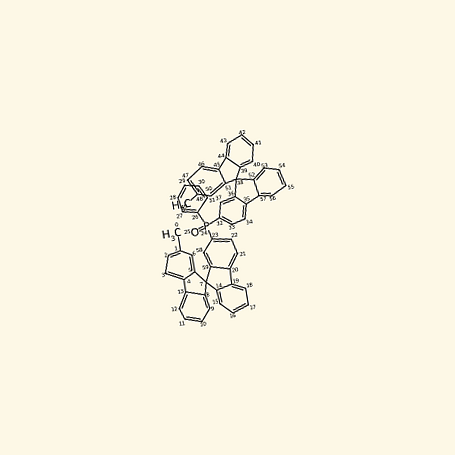 Cc1ccc2c(c1)C1(c3ccccc3-2)c2ccccc2-c2ccc(P(=O)(c3ccccc3)c3ccc4c(c3)C3(c5ccccc5-c5ccc(C)cc53)c3ccccc3-4)cc21